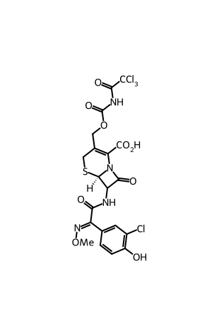 CO/N=C(/C(=O)NC1C(=O)N2C(C(=O)O)=C(COC(=O)NC(=O)C(Cl)(Cl)Cl)CS[C@H]12)c1ccc(O)c(Cl)c1